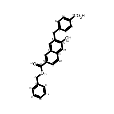 O=C(O)c1ccc(Cc2cc3cc(C(=O)OCc4ccccc4)ccc3cc2O)cc1